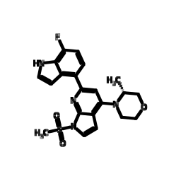 C[C@@H]1COCCN1c1cc(-c2ccc(F)c3[nH]ccc23)nc2c1ccn2S(C)(=O)=O